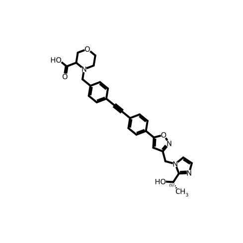 C[C@H](O)c1nccn1Cc1cc(-c2ccc(C#Cc3ccc(CN4CCOCC4C(=O)O)cc3)cc2)on1